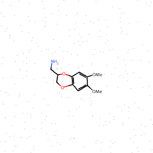 COc1cc2c(cc1OC)OC(CN)CO2